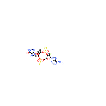 Nc1ncnc2c1ncn2[C@@H]1OC2COP(=O)(S)O[C@@H]3[C@H](O)[C@H](C[C@H]3n3cnc4c(=O)[nH]cnc43)OP(=O)(S)O[C@H]2[C@H]1F